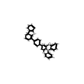 C1=Cc2sc3c(-c4ccc(-c5cc6c7c(c5)Oc5ccccc5B7c5ccccc5O6)cc4)cccc3c2CC1